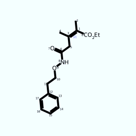 CCOC(=O)/C(C)=C(/C)CC(=O)NOCCc1ccccc1